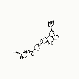 CC#Cc1cc(NC(=O)C2CCN(c3ccc(-c4cc(-c5cnn(C)c5)cn5ncc(C#N)c45)cn3)CC2)ccn1